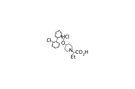 CCC(C(=O)O)N1CCC(OCc2ccccc2-c2ccccc2Cl)CC1.Cl